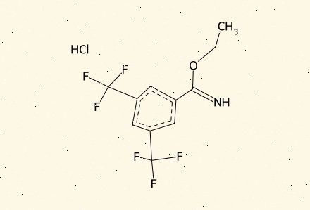 CCOC(=N)c1cc(C(F)(F)F)cc(C(F)(F)F)c1.Cl